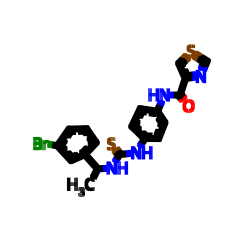 CC(NC(=S)Nc1ccc(NC(=O)c2cscn2)cc1)c1cccc(Br)c1